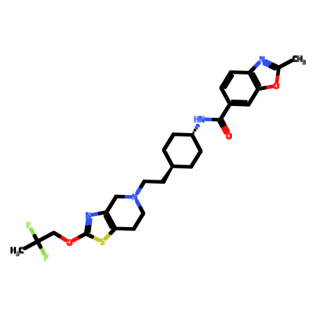 Cc1nc2ccc(C(=O)N[C@H]3CC[C@H](CCN4CCc5sc(OCC(C)(F)F)nc5C4)CC3)cc2o1